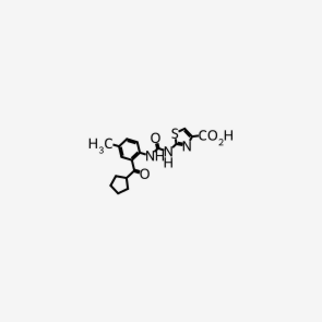 Cc1ccc(NC(=O)Nc2nc(C(=O)O)cs2)c(C(=O)C2CCCC2)c1